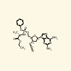 CCOC(=O)[C@H](C)NP(=O)(OC[C@H]1O[C@@H](n2cnc3c(N)nc(N)nc32)C[C@H]1N=[N+]=[N-])Oc1ccccc1